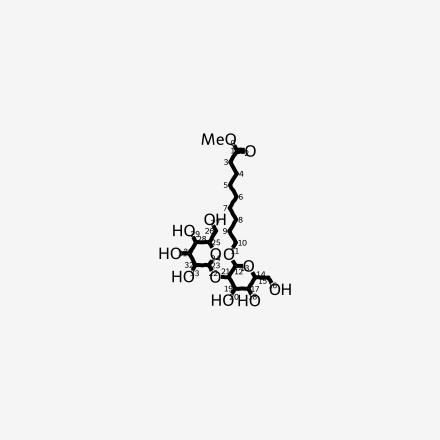 COC(=O)CCCCCCCCOC1OC(CO)C(O)C(O)C1OC1OC(CO)C(O)C(O)C1O